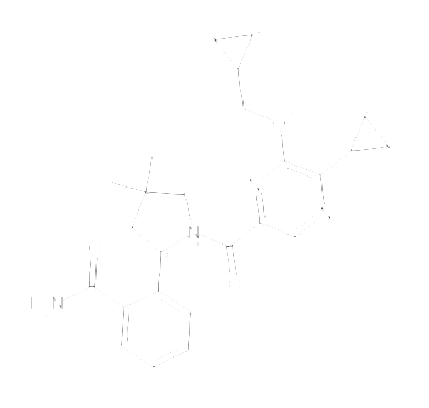 CC1(C)CC(c2ccccc2C(N)=O)N(C(=O)c2cnc(C3CC3)c(OCC3CC3)n2)C1